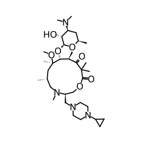 CO[C@]1(C)C[C@@H](C)CN(C)[C@H](CN2CCN(C3CC3)CC2)COC(=O)C(C)(C)C(=O)[C@H](C)[C@H]1O[C@@H]1O[C@H](C)C[C@H](N(C)C)[C@H]1O